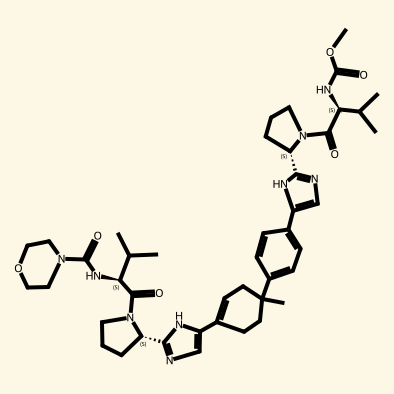 COC(=O)N[C@H](C(=O)N1CCC[C@H]1c1ncc(-c2ccc(C3(C)CC=C(c4cnc([C@@H]5CCCN5C(=O)[C@@H](NC(=O)N5CCOCC5)C(C)C)[nH]4)CC3)cc2)[nH]1)C(C)C